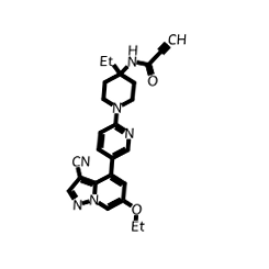 C#CC(=O)NC1(CC)CCN(c2ccc(-c3cc(OCC)cn4ncc(C#N)c34)cn2)CC1